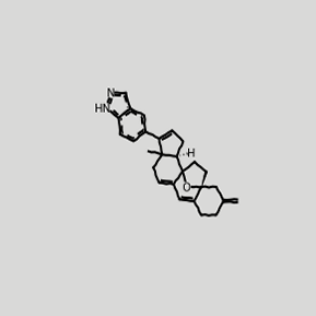 C=C1CCC2=CC3=CCC4(C)C(c5ccc6[nH]ncc6c5)=CC[C@H]4C34CC[C@]2(C1)O4